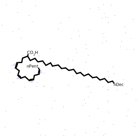 CCCCC/C=C\C/C=C\C/C=C\C/C=C\CCC(CCCCCCCCCCCCCCCCCCCCCCCCCCCCCCCC)C(=O)O